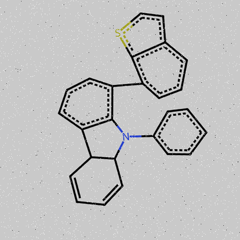 C1=CC2c3cccc(-c4cccc5ccsc45)c3N(c3ccccc3)C2C=C1